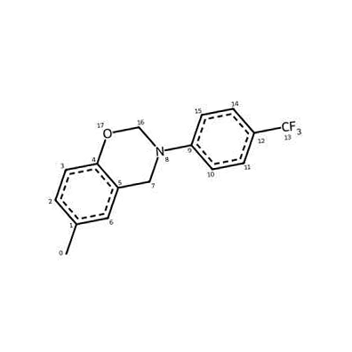 Cc1ccc2c(c1)CN(c1ccc(C(F)(F)F)cc1)CO2